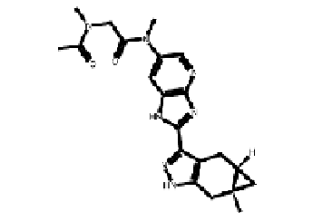 CC(=O)N(C)CC(=O)N(C)c1cnc2nc(-c3n[nH]c4c3C[C@@H]3C[C@]3(C)C4)[nH]c2c1